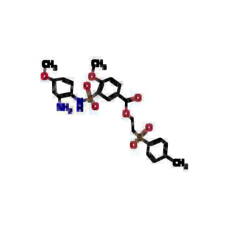 COc1ccc(NS(=O)(=O)c2cc(C(=O)OCCS(=O)(=O)c3ccc(C)cc3)ccc2OC)c(N)c1